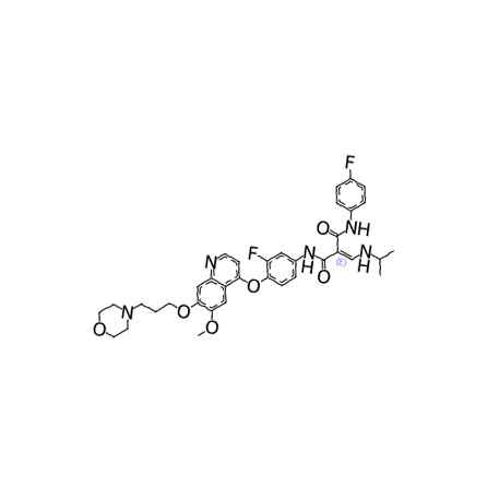 COc1cc2c(Oc3ccc(NC(=O)/C(=C/NC(C)C)C(=O)Nc4ccc(F)cc4)cc3F)ccnc2cc1OCCCN1CCOCC1